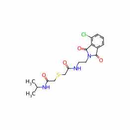 CC(C)NC(=O)CSCC(=O)NCCN1C(=O)c2cccc(Cl)c2C1=O